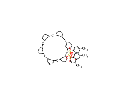 Cc1ccc(S(=O)(=O)c2ccc3cc2C(S(=O)(=O)c2ccc(C)cc2)(S(=O)(=O)c2ccc(C)cc2)c2cccc(c2)Cc2cccc(c2)Cc2cccc(c2)Cc2cccc(c2)Cc2cccc(c2)C3)cc1